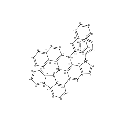 c1ccc(-n2ccc3cc4c5c(c32)N(c2ccc3ccccc3c2)c2ccc3ccccc3c2B5n2c3ccccc3c3cccc-4c32)cc1